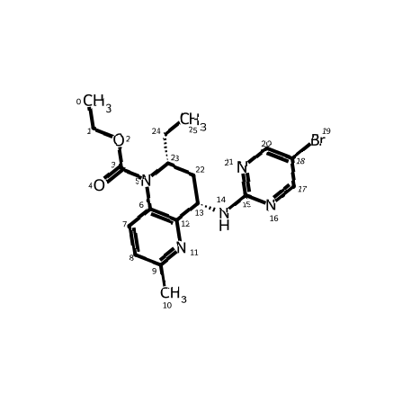 CCOC(=O)N1c2ccc(C)nc2[C@@H](Nc2ncc(Br)cn2)C[C@H]1CC